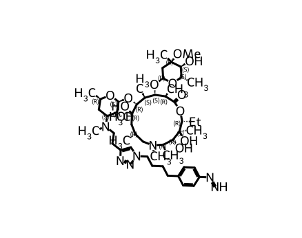 CC[C@H]1OC(=O)[C@H](C)[C@@H](O[C@H]2C[C@@](C)(OC)[C@@H](O)[C@H](C)O2)[C@H](C)[C@@H](O[C@@H]2O[C@H](C)C[C@H](N(C)CCc3cn(CCCCc4ccc(N=N)cc4)nn3)[C@H]2O)[C@](C)(O)C[C@@H](C)CN(C)[C@H](C)[C@@H](O)[C@]1(C)O